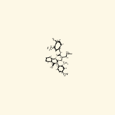 C[C@H](c1nc2ncccc2c(=O)n1-c1ccc(C#N)cc1)N(CC(C)(C)C)C(=O)Cc1ccc(F)c(C(F)(F)F)c1